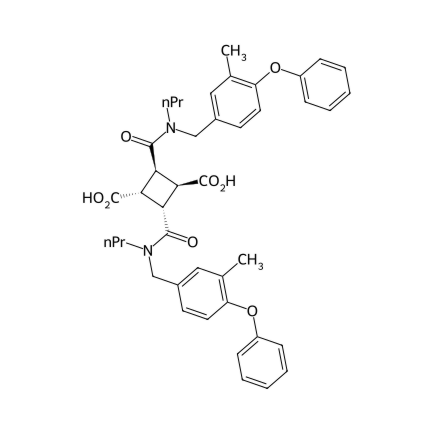 CCCN(Cc1ccc(Oc2ccccc2)c(C)c1)C(=O)[C@H]1[C@H](C(=O)O)[C@H](C(=O)N(CCC)Cc2ccc(Oc3ccccc3)c(C)c2)[C@H]1C(=O)O